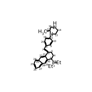 CCN(CC)C1CCC(=Cc2ccc(N3CCNCC3C)cc2)c2cc3ccccc3cc21